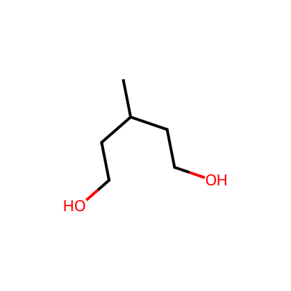 CC(CCO)CCO